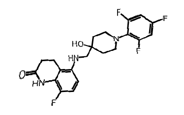 O=C1CCc2c(NCC3(O)CCN(c4c(F)cc(F)cc4F)CC3)ccc(F)c2N1